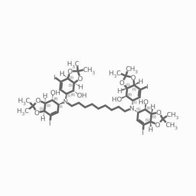 CC1(C)O[C@H]2[C@H](O)[C@@H](N(CCCCCCCCCN([C@H]3C=C(I)[C@H]4OC(C)(C)O[C@H]4[C@@H]3O)[C@H]3C=C(I)[C@H]4OC(C)(C)O[C@H]4[C@@H]3O)[C@H]3C=C(I)[C@H]4OC(C)(C)O[C@H]4[C@@H]3O)C=C(I)[C@H]2O1